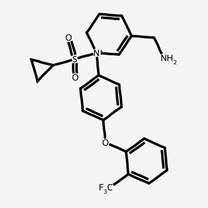 NCC1=C[N+](c2ccc(Oc3ccccc3C(F)(F)F)cc2)(S(=O)(=O)C2CC2)CC=C1